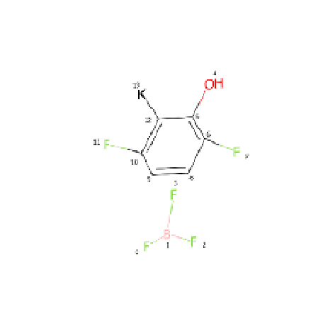 FB(F)F.Oc1c(F)ccc(F)[c]1[K]